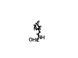 Cn1cnc(CCNC=O)c1